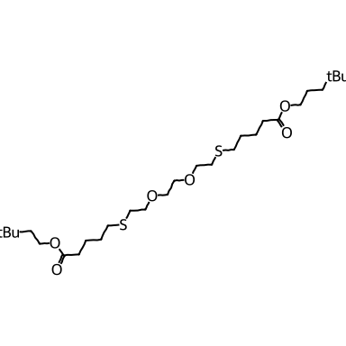 CC(C)(C)CCCOC(=O)CCCCSCCOCCOCCSCCCCC(=O)OCCC(C)(C)C